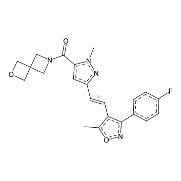 Cc1onc(-c2ccc(F)cc2)c1/C=C/c1cc(C(=O)N2CC3(COC3)C2)n(C)n1